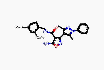 COc1ccc(CNC(=O)c2c(-c3c(C)nn(-c4ccccc4)c3C)noc2N)c(OC)c1